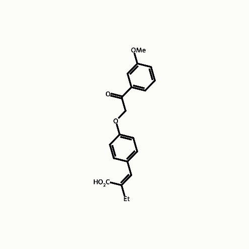 CCC(=Cc1ccc(OCC(=O)c2cccc(OC)c2)cc1)C(=O)O